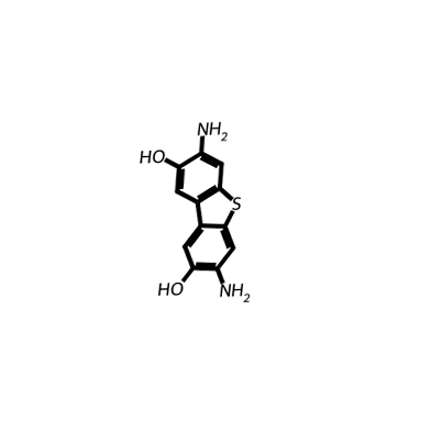 Nc1cc2sc3cc(N)c(O)cc3c2cc1O